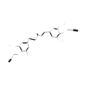 C#CCOc1c(OC)cc(C=CC(=O)C=Cc2cc(OC)c(OCC#C)c(OC)c2)cc1OC